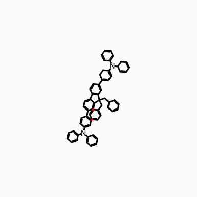 C1=CCC(CC2(Cc3ccccc3)c3cc(C4=CC=C(N(c5ccccc5)C5C=CC=CC5)CC4)ccc3-c3ccc(-c4ccc(N(c5ccccc5)c5ccccc5)cc4)cc32)C=C1